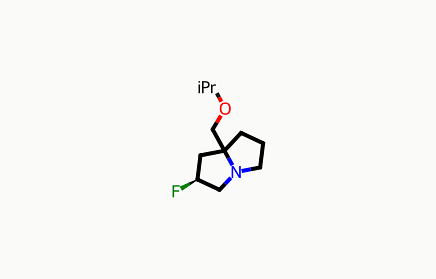 CC(C)OCC12CCCN1C[C@@H](F)C2